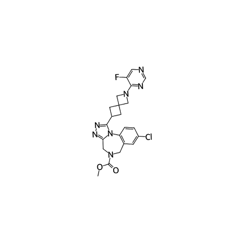 COC(=O)N1Cc2cc(Cl)ccc2-n2c(nnc2C2CC3(C2)CN(c2ncncc2F)C3)C1